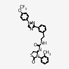 Cc1ccccc1N1C(=O)SC/C1=N\C(=O)NCCc1cccc(-c2ncn(-c3ccc(OC(F)(F)F)cc3)n2)c1